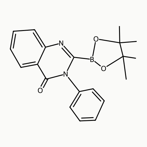 CC1(C)OB(c2nc3ccccc3c(=O)n2-c2ccccc2)OC1(C)C